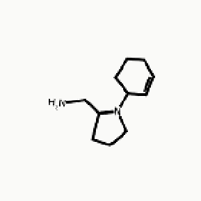 NCC1CCCN1C1C=CCCC1